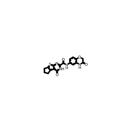 O=C1COc2ccc(NC(=O)c3nc4sc5c(c4c(=O)[nH]3)CCC5)cc2N1